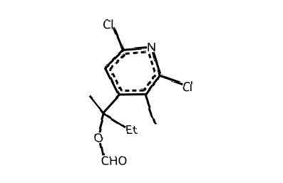 CCC(C)(OC=O)c1cc(Cl)nc(Cl)c1C